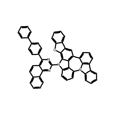 c1ccc(-c2ccc(-c3nc(-n4c5cccc6c5c5c(cc7c8ccccc8oc7c54)c4cccc5c7ccccc7n6c45)nc4c3ccc3ccccc34)cc2)cc1